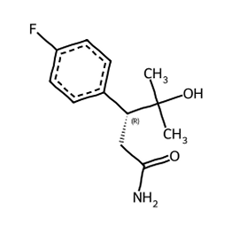 CC(C)(O)[C@H](CC(N)=O)c1ccc(F)cc1